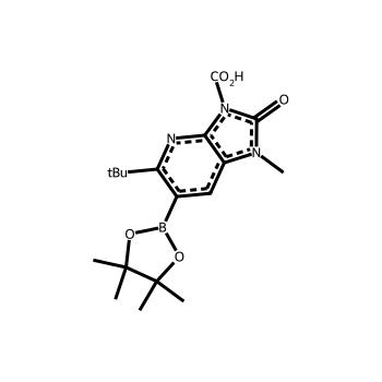 Cn1c(=O)n(C(=O)O)c2nc(C(C)(C)C)c(B3OC(C)(C)C(C)(C)O3)cc21